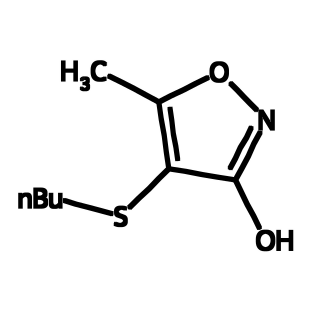 CCCCSc1c(O)noc1C